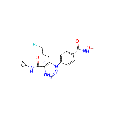 C=NN(/C(CCCF)=C(\N)C(=O)NC1CC1)c1ccc(C(=O)NOC)cc1